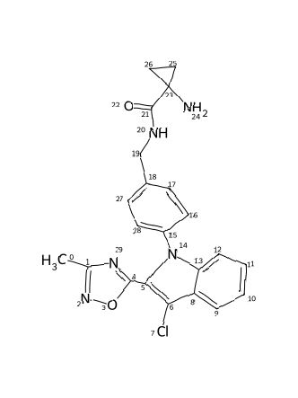 Cc1noc(-c2c(Cl)c3ccccc3n2-c2ccc(CNC(=O)C3(N)CC3)cc2)n1